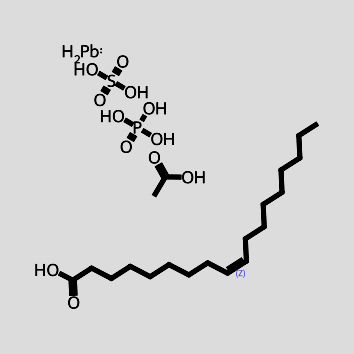 CC(=O)O.CCCCCCCC/C=C\CCCCCCCC(=O)O.O=P(O)(O)O.O=S(=O)(O)O.[PbH2]